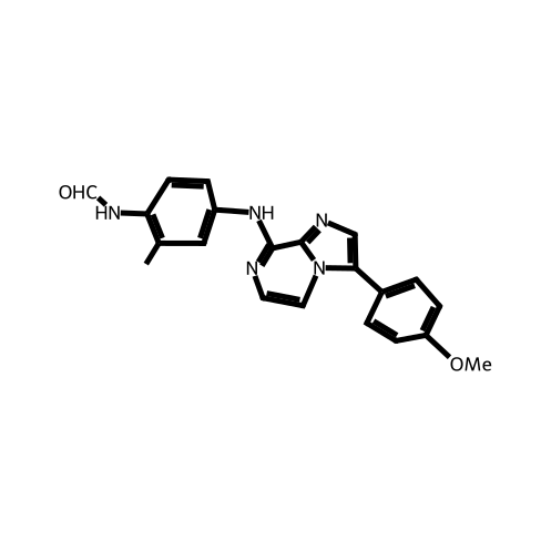 COc1ccc(-c2cnc3c(Nc4ccc(NC=O)c(C)c4)nccn23)cc1